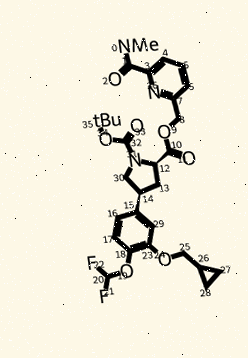 CNC(=O)c1cccc(COC(=O)[C@H]2C[C@@H](c3ccc(OC(F)F)c(OCC4CC4)c3)CN2C(=O)OC(C)(C)C)n1